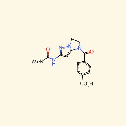 CNC(=O)Nc1cc2n(n1)CCN2C(=O)c1ccc(C(=O)O)cc1